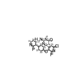 CN1C(=O)CC2(N=C1N)c1cc(-c3cccnc3F)ccc1Oc1c2cc(Cl)nc1F